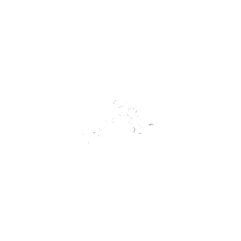 C#Cc1cccc(Nc2ncnc3cc(OC)c(OCCCN4CC5(CCOCC5)C4)cc23)c1